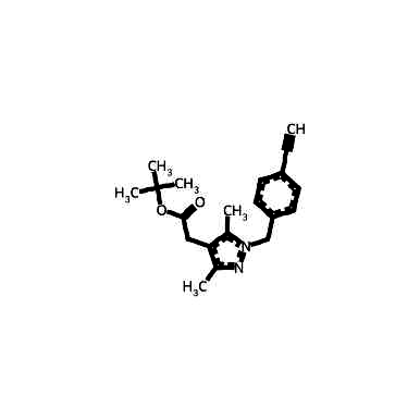 C#Cc1ccc(Cn2nc(C)c(CC(=O)OC(C)(C)C)c2C)cc1